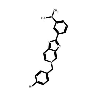 CN(C)c1cccc(-c2nc3ccn(Cc4ccc(Br)cc4)cc-3n2)c1